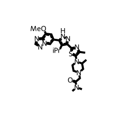 COc1cc(-c2[nH]nc(-c3nc(C)c(N4CCN(CC(=O)N(C)C)CC4C)s3)c2C(C)C)cn2ncnc12